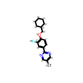 CCc1cnc(-c2ccc(OCC3CC[CH]CC3)c(F)c2)nc1